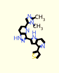 Cc1ncc(-c2ccc3[nH]nc(-c4cc5c(-c6ccsc6)nccc5[nH]4)c3n2)n1C